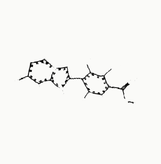 COC(=O)c1cc(F)c(-c2cn3ccc(Cl)cc3n2)c(F)c1F